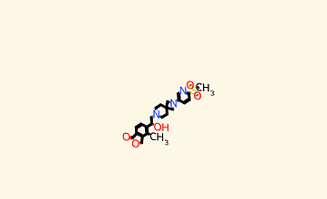 Cc1c(C(O)CN2CCC3(CC2)CN(c2ccc(S(C)(=O)=O)nc2)C3)ccc2c1COC2=O